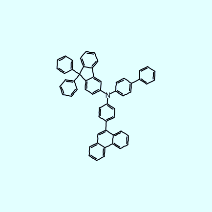 c1ccc(-c2ccc(N(c3ccc(-c4cc5ccccc5c5ccccc45)cc3)c3ccc4c(c3)-c3ccccc3C4(c3ccccc3)c3ccccc3)cc2)cc1